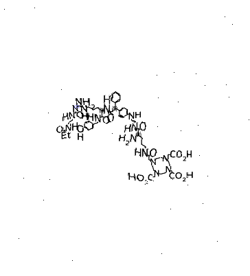 CCC(=O)NCCNC(=O)/N=C(/N)NCCC[C@@H](NC(=O)[C@@H](c1ccccc1)c1ccc(NCCNC(=O)[C@H](N)CCCNC(=O)CN2CCN(CC(=O)O)CCN(CC(=O)O)CCN(CC(=O)O)CC2)cc1)C(=O)NCc1ccc(O)cc1